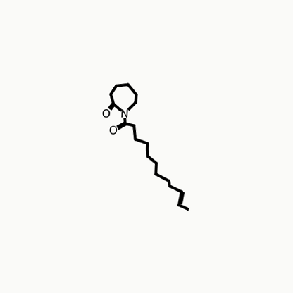 CC=CCCCCCCCCC(=O)N1CCCCCC1=O